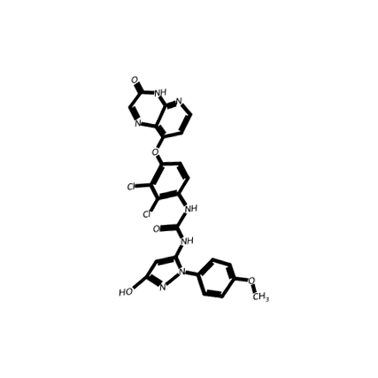 COc1ccc(-n2nc(O)cc2NC(=O)Nc2ccc(Oc3ccnc4[nH]c(=O)cnc34)c(Cl)c2Cl)cc1